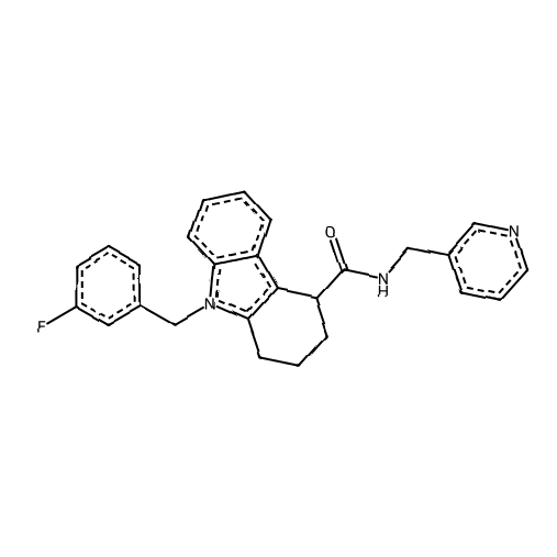 O=C(NCc1cccnc1)C1CCCc2c1c1ccccc1n2Cc1cccc(F)c1